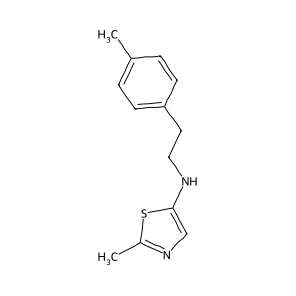 Cc1ccc(CCNc2cnc(C)s2)cc1